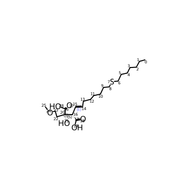 CCCCCCCSCCCCCC/C=C/[C@H](C(=O)O)[C@@](O)(CCOC)C(=O)O